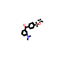 CN(C)c1cccc(C(=O)c2ccc([Si](C)(C)O[Si](C)(C)C)cc2)c1